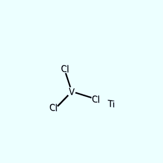 [Cl][V]([Cl])[Cl].[Ti]